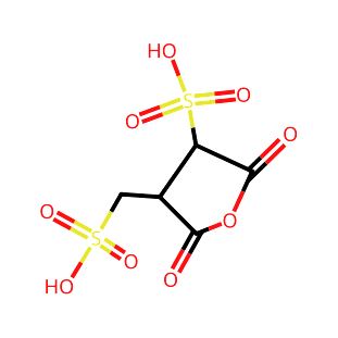 O=C1OC(=O)C(S(=O)(=O)O)C1CS(=O)(=O)O